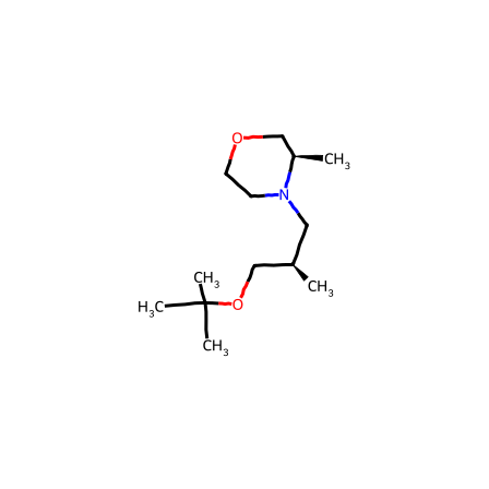 C[C@@H](COC(C)(C)C)CN1CCOC[C@H]1C